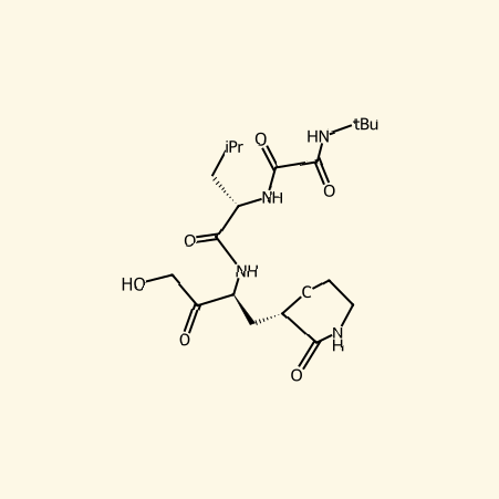 CC(C)C[C@H](NC(=O)C(=O)NC(C)(C)C)C(=O)N[C@@H](C[C@@H]1CCCNC1=O)C(=O)CO